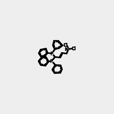 [Cl][Ni]([Cl])[CH2]C=CC(P(c1ccccc1)c1ccccc1)P(c1ccccc1)c1ccccc1